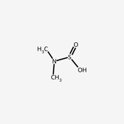 CN(C)S(=O)O